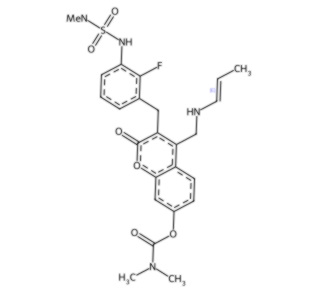 C/C=C/NCc1c(Cc2cccc(NS(=O)(=O)NC)c2F)c(=O)oc2cc(OC(=O)N(C)C)ccc12